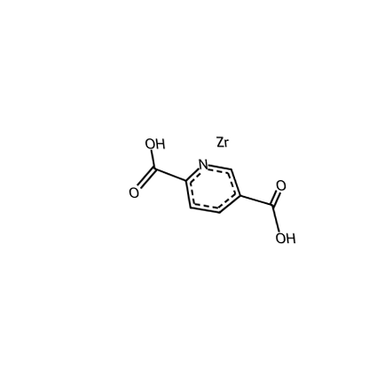 O=C(O)c1ccc(C(=O)O)nc1.[Zr]